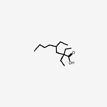 CCCCC(CC)CC(CC)(CC)C(=O)O